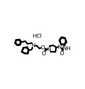 Cl.O=C(OCCN(CCCc1ccccc1)Cc1ccccc1)N1CCC(n2c(=O)[nH]c3ccccc32)CC1